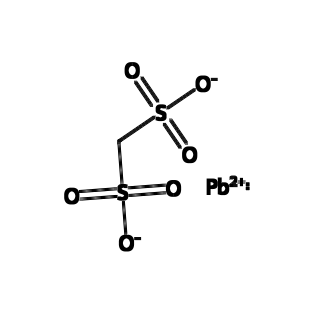 O=S(=O)([O-])CS(=O)(=O)[O-].[Pb+2]